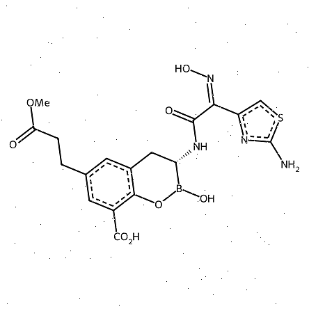 COC(=O)CCc1cc2c(c(C(=O)O)c1)OB(O)[C@@H](NC(=O)/C(=N\O)c1csc(N)n1)C2